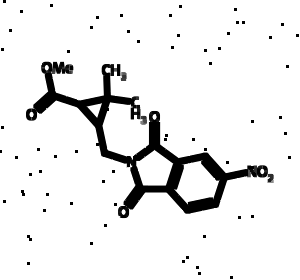 COC(=O)C1C(CN2C(=O)c3ccc([N+](=O)[O-])cc3C2=O)C1(C)C